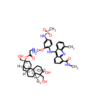 CNC(=O)c1cccc2c(Nc3ccc(NS(C)(=O)=O)cc3OC)c3cccc(C)c3nc12.C[C@@]1(CO)[C@H](O)CC[C@@]2(C)[C@H]1CC[C@H]1C[C@@H]3C[C@@]12CC[C@@]3(CO)OC(=O)CN